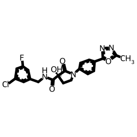 Cc1nnc(-c2ccc(N3CC[C@](O)(C(=O)NCc4cc(F)cc(Cl)c4)C3=O)cc2)o1